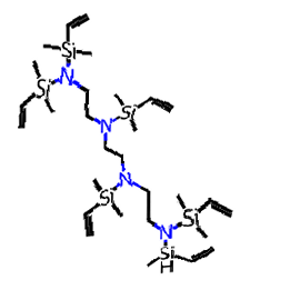 C=C[SiH](C)N(CCN(CCN(CCN([Si](C)(C)C=C)[Si](C)(C)C=C)[Si](C)(C)C=C)[Si](C)(C)C=C)[Si](C)(C)C=C